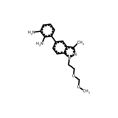 COCOCCn1nc(C)c2cc(-c3cccc(N)c3N)ccc21